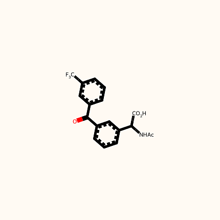 CC(=O)NC(C(=O)O)c1cccc(C(=O)c2cccc(C(F)(F)F)c2)c1